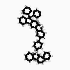 c1ccc(C2(c3ccccc3)c3ccccc3-c3cc4c(cc32)oc2ccc(-c3ccc(-n5c6ccccc6c6ccc7ccccc7c65)cc3)cc24)cc1